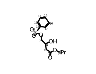 CC(C)OC(=O)CC(O)COS(=O)(=O)c1ccccc1